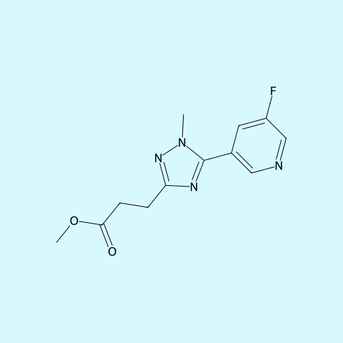 COC(=O)CCc1nc(-c2cncc(F)c2)n(C)n1